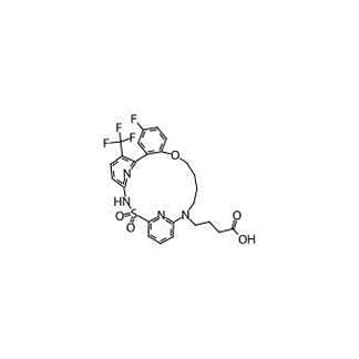 O=C(O)CCCN1CCCCOc2ccc(F)cc2-c2nc(ccc2C(F)(F)F)NS(=O)(=O)c2cccc1n2